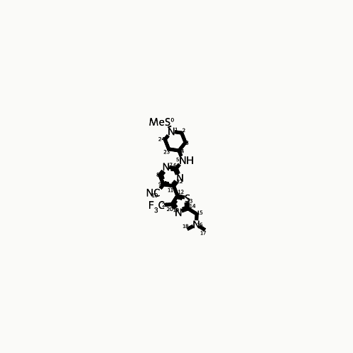 CSN1CCC(Nc2ncc(C#N)c(-c3sc(CN(C)C)nc3C(F)(F)F)n2)CC1